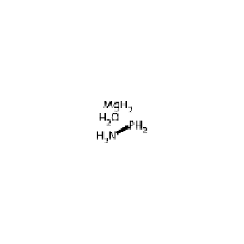 NP.O.[MgH2]